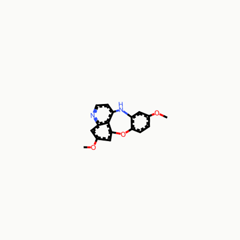 COc1ccc2c(c1)Nc1ccnc3cc(OC)cc(c13)O2